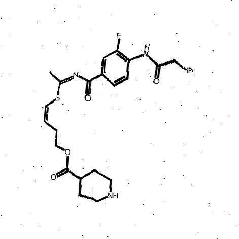 CC(=NC(=O)c1ccc(NC(=O)CC(C)C)c(F)c1)S/C=C\CCOC(=O)C1CCNCC1